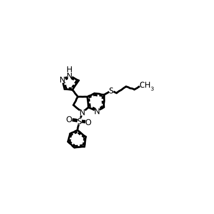 CCCCSc1cnc2c(c1)C(c1cn[nH]c1)CN2S(=O)(=O)c1ccccc1